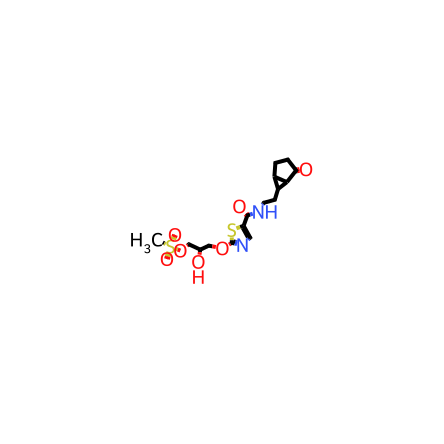 CS(=O)(=O)OCC(O)COc1ncc(C(=O)NCCC2C3CCC(=O)C23)s1